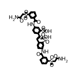 NC(=O)CS(=O)(=O)c1cccc(C(=O)Nc2ccc(/C=C/c3ccc(NC(=O)c4cccc(S(=O)(=O)CC(N)=O)c4)cc3S(=O)(=O)O)c(S(=O)(=O)O)c2)c1